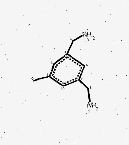 Cc1cc(CN)cc(CN)c1